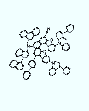 N#Cc1cc2cc(N(Cc3cc4ccccc4c4ccccc34)c3ccc(-c4cccc5ccccc45)c4ccccc34)c3cc(-c4ccc(-c5ccccc5)cc4)c4c5ccc(N6CC=C(c7ccccc7)c7ccccc76)cc5oc4c3c2c2c1oc1c(N3c4ccccc4C=C4C(c5ccccc5)=CC=CC43)cccc12